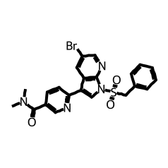 CN(C)C(=O)c1ccc(-c2cn(S(=O)(=O)Cc3ccccc3)c3ncc(Br)cc23)nc1